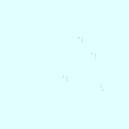 CC(C)(F)c1cnn2ccnc2n1